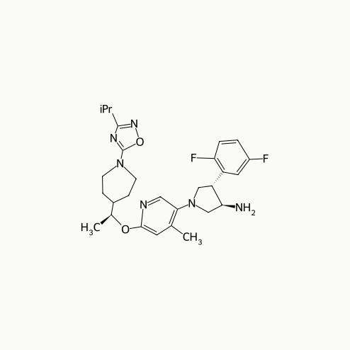 Cc1cc(O[C@@H](C)C2CCN(c3nc(C(C)C)no3)CC2)ncc1N1C[C@H](c2cc(F)ccc2F)[C@@H](N)C1